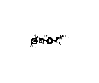 C=NN/C=C(\C)c1ccc(-c2nnc(O[C@@H]3CC4CCC3CN4C)s2)c(O)c1